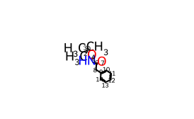 CC(C)(C)ONC(=O)Cc1ccccc1